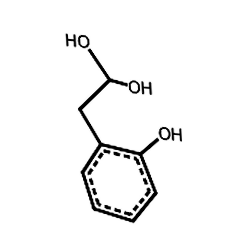 Oc1ccccc1CC(O)O